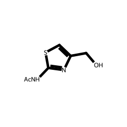 CC(=O)Nc1nc(CO)cs1